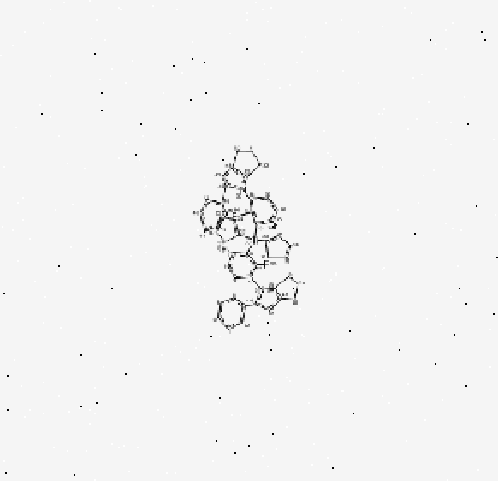 Fc1ccc(-n2c(-c3ccccc3)cc3c2CCC3)c(F)[c]1[Ti]([C]1=CC=CC1)([C]1=CC=CC1)[c]1c(F)ccc(-n2c(-c3ccccc3)cc3c2CCC3)c1F